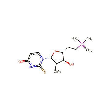 C=P(C)(C)CC[C@H]1O[C@@H](n2ccc(=O)[nH]c2=S)[C@H](OC)[C@@H]1O